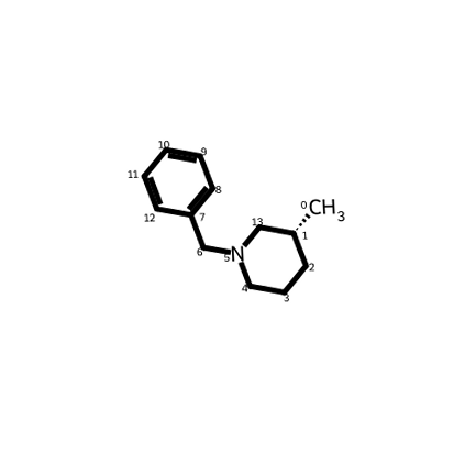 C[C@@H]1CCCN(Cc2ccccc2)C1